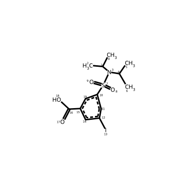 CC(C)N(C(C)C)S(=O)(=O)c1cc(I)cc(C(=O)O)c1